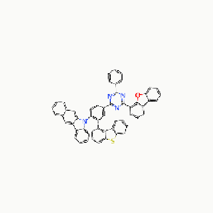 c1ccc(-c2nc(-c3ccc(-n4c5ccccc5c5cc6ccccc6cc54)c(-c4cccc5sc6ccccc6c45)c3)nc(-c3cccc4c3oc3ccccc34)n2)cc1